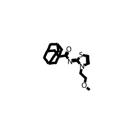 COCCn1ccsc1=NC(=O)C12CC3CC(CC(C3)C1)C2